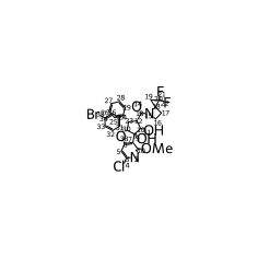 COc1nc(Cl)cc2c1[C@]1(O)[C@H](O)[C@H](C(=O)N3CCC34CC4(F)F)[C@@H](c3ccccc3)[C@]1(c1ccc(Br)cc1)O2